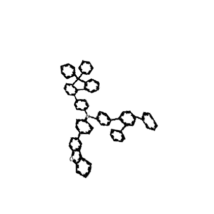 c1ccc(-c2ccc(-c3ccc(N(c4ccc(-c5ccc6oc7ccccc7c6c5)cc4)c4ccc(-c5cccc6c5-c5ccccc5C6(c5ccccc5)c5ccccc5)cc4)cc3)c(-c3ccccc3)c2)cc1